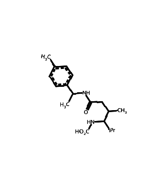 Cc1ccc(C(C)NC(=O)CC(C)C(NC(=O)O)C(C)C)cc1